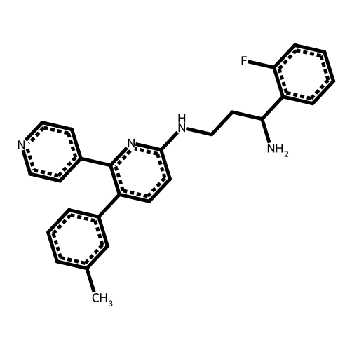 Cc1cccc(-c2ccc(NCCC(N)c3ccccc3F)nc2-c2ccncc2)c1